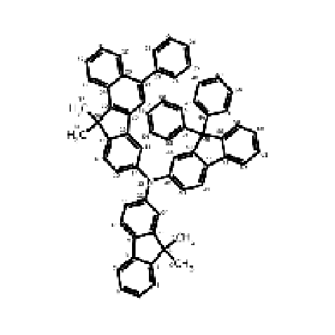 CC1(C)c2ccccc2-c2ccc(N(c3ccc4c(c3)-c3cc(-c5ccccc5)c5ccccc5c3C4(C)C)c3ccc4c(c3)C(c3ccccc3)(c3ccccc3)c3ccccc3-4)cc21